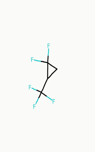 FC(F)(F)C1CC1(F)F